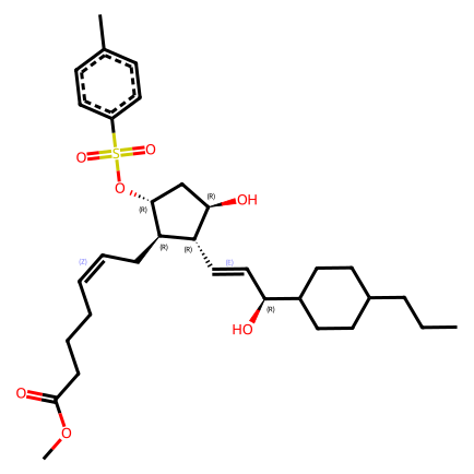 CCCC1CCC([C@@H](O)/C=C/[C@@H]2[C@@H](C/C=C\CCCC(=O)OC)[C@H](OS(=O)(=O)c3ccc(C)cc3)C[C@H]2O)CC1